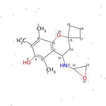 Cc1c(C)c2c(c(C)c1O)C(NC1CO1)CC1(CCC1)O2